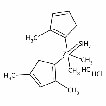 CC1=CC(C)=[C]([Zr]([CH3])([CH3])(=[SiH2])[C]2=C(C)C=CC2)C1.Cl.Cl